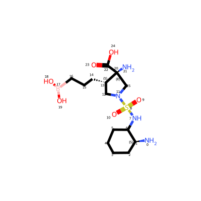 N[C@H]1CCCCC1NS(=O)(=O)N1C[C@H](CCCB(O)O)[C@](N)(C(=O)O)C1